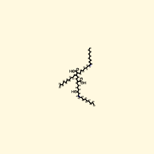 CCCCCCCC/C=C\CCCCCCC(C(=O)O)C(CCCCCCCCCC)CCC(CCCCC(O)C/C=C\CCCCCCCC)C(=O)O